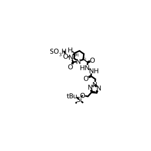 CC(C)(C)[Si](C)(C)OCc1cnn(CC(=O)NNC(=O)[C@@H]2CC[C@@H]3CN2C(=O)N3OS(=O)(=O)O)n1